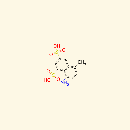 Cc1ccc(N)c2c(S(=O)(=O)O)cc(S(=O)(=O)O)cc12